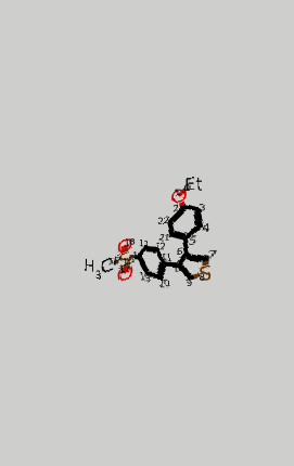 CCOc1ccc(-c2cscc2-c2ccc(S(C)(=O)=O)cc2)cc1